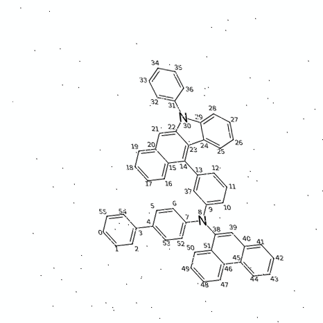 c1ccc(-c2ccc(N(c3cccc(-c4c5ccccc5cc5c4c4ccccc4n5-c4ccccc4)c3)c3cc4ccccc4c4ccccc34)cc2)cc1